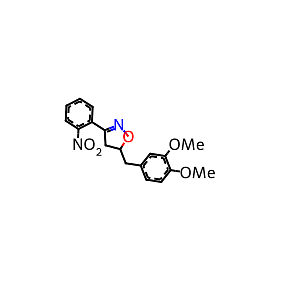 COc1ccc(CC2CC(c3ccccc3[N+](=O)[O-])=NO2)cc1OC